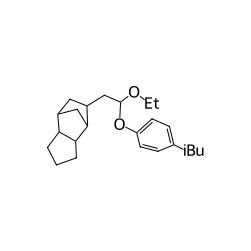 CCOC(CC1CC2CC1C1CCCC21)Oc1ccc(C(C)CC)cc1